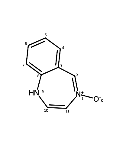 [O-][N+]1=Cc2ccccc2NC=C1